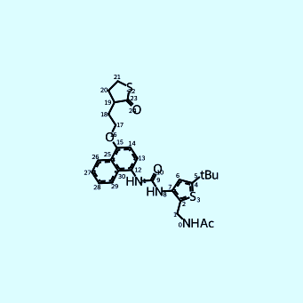 CC(=O)NCc1sc(C(C)(C)C)cc1NC(=O)Nc1ccc(OCCC2CCSC2=O)c2ccccc12